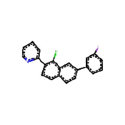 Clc1c(-c2ccccn2)ccc2ccc(-c3cccc(I)c3)cc12